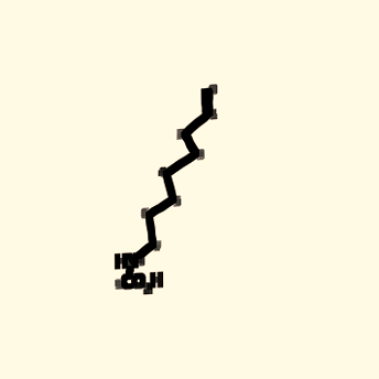 C=CCCCCCCNC(=O)O